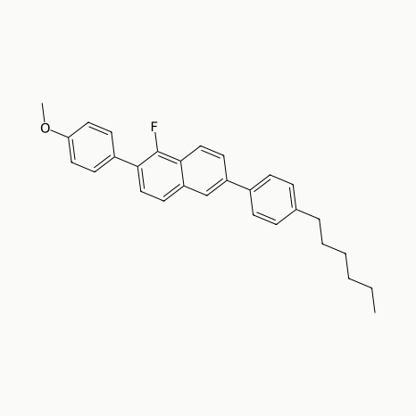 CCCCCCc1ccc(-c2ccc3c(F)c(-c4ccc(OC)cc4)ccc3c2)cc1